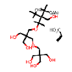 C=CC(=O)O.COC(C)(C)C(CO)(C(C)(C)OC)C(C)(C)OCC(CO)(CO)COCC(CO)(CO)CO